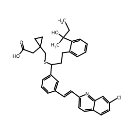 CCC(C)(O)c1ccccc1CCC(SCC1(CC(=O)O)CC1)c1cccc(/C=C/c2ccc3ccc(Cl)cc3n2)c1